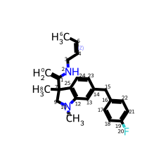 C=C(NC/C=C\C)C1(C)CN(C)c2cc(Cc3ccc(F)cc3)ccc21